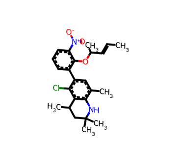 CC=CC(C)Oc1c(-c2cc(C)c3c(c2Cl)C(C)CC(C)(C)N3)cccc1[N+](=O)[O-]